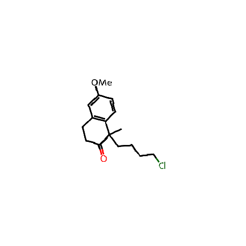 COc1ccc2c(c1)CCC(=O)C2(C)CCCCCl